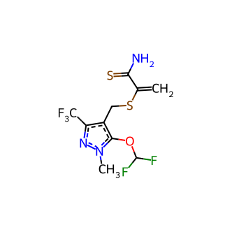 C=C(SCc1c(C(F)(F)F)nn(C)c1OC(F)F)C(N)=S